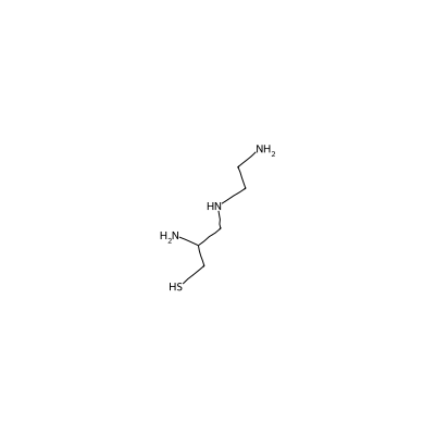 NCCNCC(N)CS